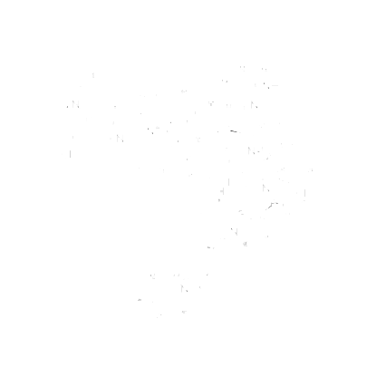 COCc1ncccc1-c1nc2ccc(-c3cc(O)cc(C[C@H](NC(=O)[C@H](C(C)C)N(C)C(=O)[C@H]4CCN(C(=O)C#CCN5CCOCC5)C4)C(=O)N4CCCCN4)c3)cn2c1CC(C)(C)COC=O